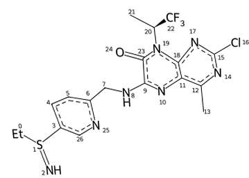 CCS(=N)c1ccc(CNc2nc3c(C)nc(Cl)nc3n([C@@H](C)C(F)(F)F)c2=O)nc1